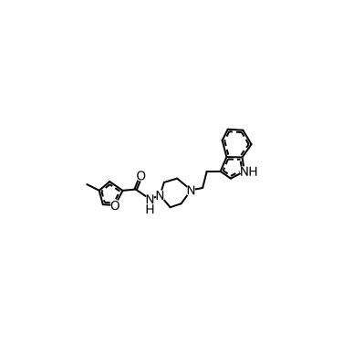 Cc1coc(C(=O)NN2CCN(CCc3c[nH]c4ccccc34)CC2)c1